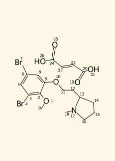 COc1c(Br)cc(Br)cc1OCCC1CCCN1C.O=C(O)C=CC(=O)O